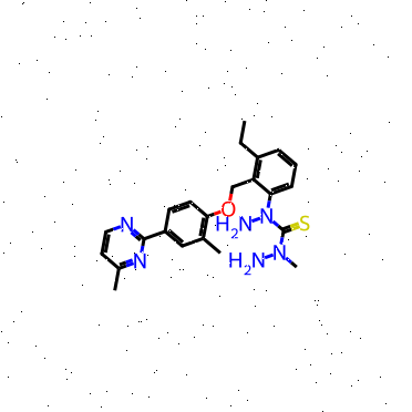 CCc1cccc(N(N)C(=S)N(C)N)c1COc1ccc(-c2nccc(C)n2)cc1C